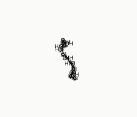 CC(Cc1cccc(CC(=O)NCCCCNC(=O)CCN2CCC(OC(=O)Nc3ccccc3-c3ccccc3)CC2)c1)NCC(O)c1ccc(O)c2[nH]c(=O)ccc12